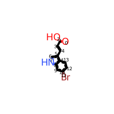 O=C(O)C=Cc1c[nH]c2cc(Br)ccc12